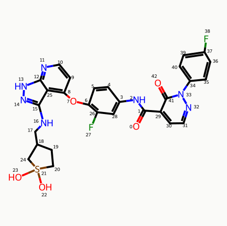 O=C(Nc1ccc(Oc2ccnc3[nH]nc(NCC4CCS(O)(O)C4)c23)c(F)c1)c1ccnn(-c2ccc(F)cc2)c1=O